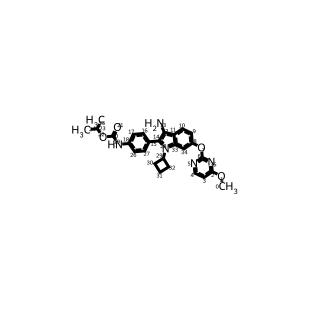 COc1ccnc(Oc2ccc3c(N)c(-c4ccc(NC(=O)OC(C)C)cc4)n(C4CCC4)c3c2)n1